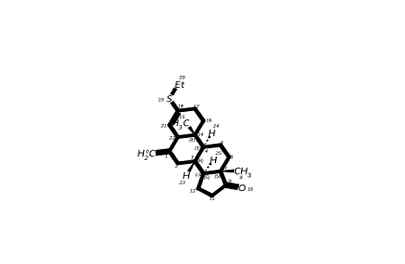 C=C1C[C@@H]2[C@H](CC[C@]3(C)C(=O)CC[C@@H]23)[C@@]2(C)CCC(SCC)=CC12